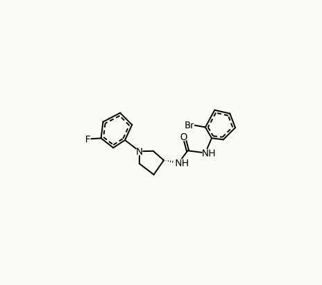 O=C(Nc1ccccc1Br)N[C@@H]1CCN(c2cccc(F)c2)C1